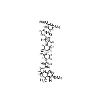 COC[C@H](NC(=O)OC)C(=O)N1[C@@H](I)CC[C@H]1c1nc2ccc3cc4c(cc3c2[nH]1)OCc1cc(-c2cnc([C@@H]3CC[C@@H]5CC(C)[C@H](NC(=O)OC)C(=O)N53)[nH]2)ccc1-4